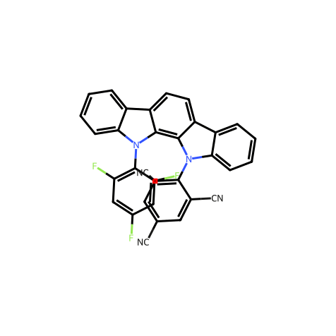 N#Cc1cc(C#N)c(-n2c3ccccc3c3ccc4c5ccccc5n(-c5c(F)cc(F)cc5F)c4c32)c(C#N)c1